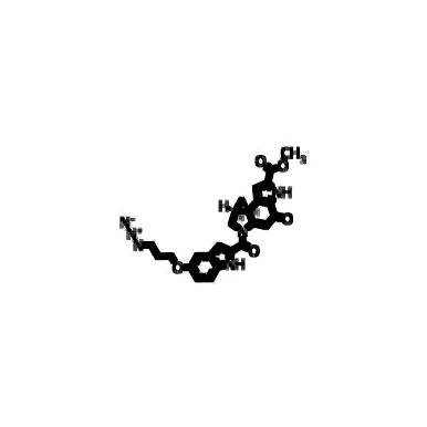 COC(=O)c1cc2c([nH]1)C(=O)C=C1N(C(=O)c3cc4cc(OCCCN=[N+]=[N-])ccc4[nH]3)C[C@H]3C[C@]123